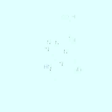 CCCSc1nc(N[C@H]2C[C@@H]2c2ccccc2)c2nnn([C@@H]3C[C@H](C(=O)O)C[C@H]3O)c2n1